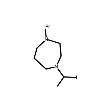 CC(C)N1CCCN(C(C)I)CC1